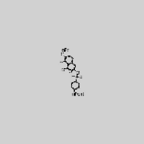 CCCCCc1ccc(C(F)(F)Oc2cc3ccc(OCCC)c(F)c3c(=O)o2)cc1